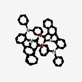 c1ccc(N(c2ccccc2)c2cccc3c4cc5ccccc5c5c6nc7c(nc6n(c23)c45)c2c3ccccc3cc3c4cccc(N(c5ccccc5)c5ccccc5)c4n7c32)cc1